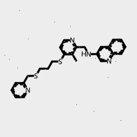 Cc1c(SCCCSCc2ccccn2)ccnc1CNc1cnc2ccccc2c1